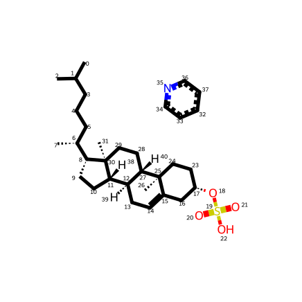 CC(C)CCC[C@@H](C)[C@H]1CC[C@H]2[C@@H]3CC=C4C[C@@H](OS(=O)(=O)O)CC[C@]4(C)[C@H]3CC[C@]12C.c1ccncc1